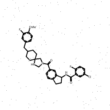 COc1ccc(CC2CCC3(CC2)CN(C(=O)c2ccc4c(c2)C(NC(=O)c2cc(Cl)ccc2F)CC4)CN3)cc1F